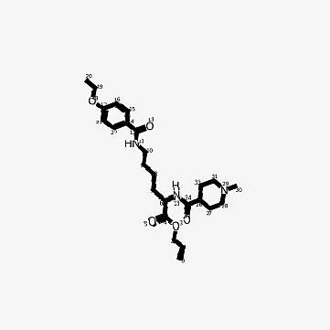 C=CCOC(=O)C(CCCCNC(=O)c1ccc(OCC)cc1)NC(=O)C1CCN(C)CC1